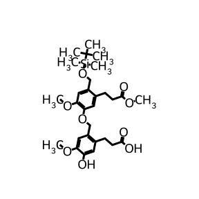 COC(=O)CCc1cc(OCc2cc(OC)c(O)cc2CCC(=O)O)c(OC)cc1CO[Si](C)(C)C(C)(C)C